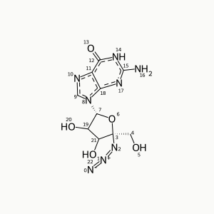 [N-]=[N+]=N[C@]1(CO)O[C@@H](n2cnc3c(=O)[nH]c(N)nc32)C(O)C1O